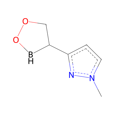 Cn1ccc(C2BOOC2)n1